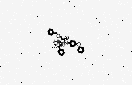 COC(C(=O)NC(COCc1ccccc1)C(=O)Nc1ccc(Oc2ccccc2)cc1)c1ccccc1